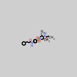 C=CC(=O)NC1C(C)CN(S(=O)(=O)c2ccc(NC(=O)CCC3CCCCC3)cc2)CC1C